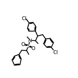 CC(C(Cc1ccc(Cl)cc1)c1ccc(Cl)cc1)N(C)S(=O)(=O)C(C)Cc1ccccc1